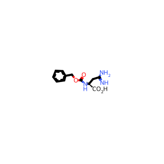 N=C(N)C[C@H](NC(=O)OCc1ccccc1)C(=O)O